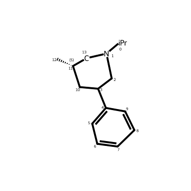 CC(C)N1CC(c2ccccc2)C[C@H](C)C1